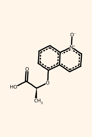 C[C@H](Oc1cccc2c1ccc[n+]2[O-])C(=O)O